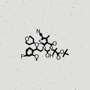 COc1cc(F)ccc1C(CN1c2sc(C#N)c(C)c2C(=O)N(C(C)(C)C(=O)OC(C)(C)C)C1O)OC1CCOCC1